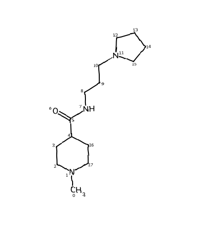 CN1CCC(C(=O)NCCCN2CCCC2)CC1